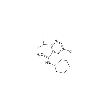 C=C(NC1CCCCC1)c1cc(Cl)cnc1C(F)F